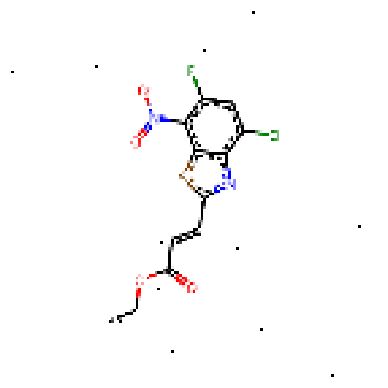 CCOC(=O)C=Cc1nc2c(Cl)cc(F)c([N+](=O)[O-])c2s1